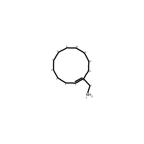 NCC1=CCCCCCCCCCC1